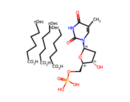 CCCCCCCCCCCCCCC(=O)O.CCCCCCCCCCCCCCC(=O)O.CCCCCCCCCCCCCCC(=O)O.Cc1cn([C@H]2C[C@H](O)[C@@H](COP(=O)(O)O)O2)c(=O)[nH]c1=O